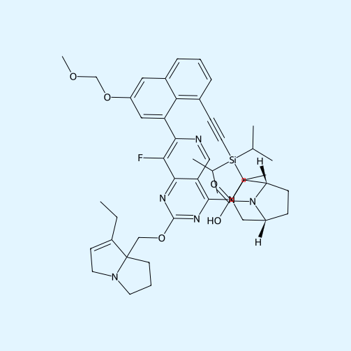 CCC1=CCN2CCCC12COc1nc(N2C[C@H]3CC[C@@H](C2)N3C(=O)O)c2cnc(-c3cc(OCOC)cc4cccc(C#C[Si](C(C)C)(C(C)C)C(C)C)c34)c(F)c2n1